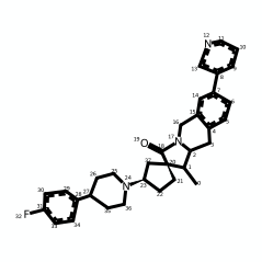 CC1C2Cc3ccc(-c4cccnc4)cc3CN2C(=O)[C@]12CC[C@@H](N1CCC(c3ccc(F)cc3)CC1)C2